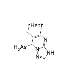 CCCCCCCCC1=C(C)N=C2NC=NN2C1[AsH2]